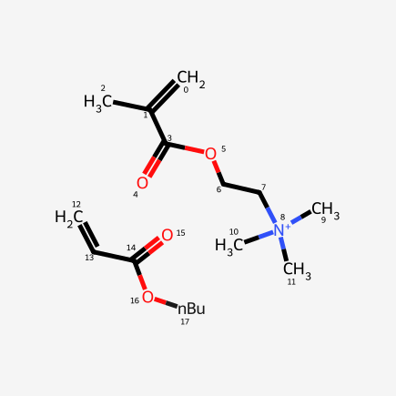 C=C(C)C(=O)OCC[N+](C)(C)C.C=CC(=O)OCCCC